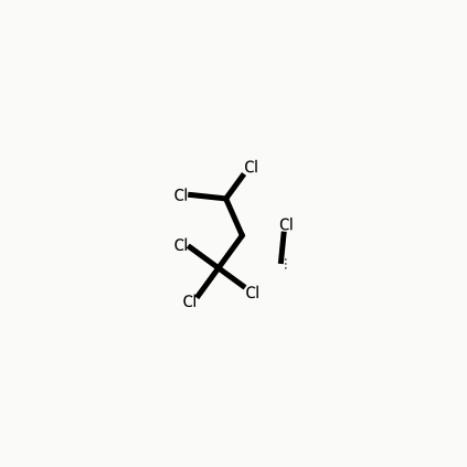 ClC(Cl)CC(Cl)(Cl)Cl.[C]Cl